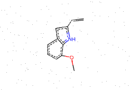 C=Cc1cc2cccc(OC)c2[nH]1